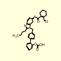 CCCCc1nc2c(n1Cc1ccc(-c3ccccc3OC(=O)O)cc1)CC(=NC(=O)C1=C(C=O)CCCC1)C=C2